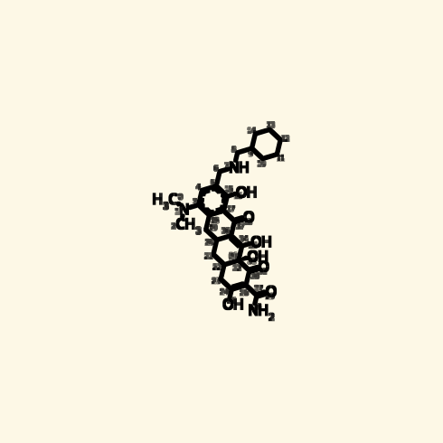 CN(C)c1cc(CNCC2CCCCC2)c(O)c2c1CC1CC3CC(O)=C(C(N)=O)C(=O)[C@@]3(O)C(O)=C1C2=O